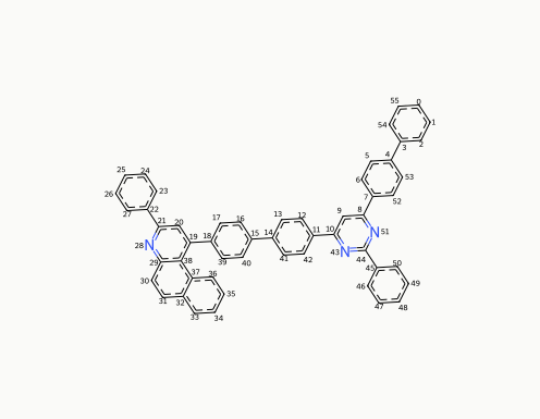 c1ccc(-c2ccc(-c3cc(-c4ccc(-c5ccc(-c6cc(-c7ccccc7)nc7ccc8ccccc8c67)cc5)cc4)nc(-c4ccccc4)n3)cc2)cc1